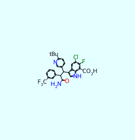 CC(C)(C)c1ccc(C(c2c[nH]c3c(C(=O)O)c(F)c(Cl)cc23)C(C(N)=O)c2cccc(C(F)(F)F)c2)cn1